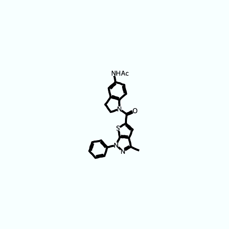 CC(=O)Nc1ccc2c(c1)CCN2C(=O)c1cc2c(C)nn(-c3ccccc3)c2s1